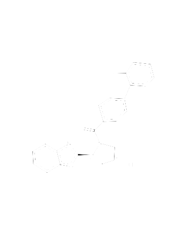 Cc1ccccc1-c1ccc(C(=O)N2C[C@H](O)C[C@H]2c2nc3ccccc3o2)cc1